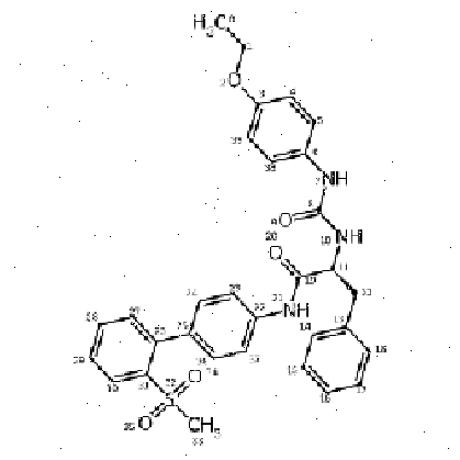 CCOc1ccc(NC(=O)N[C@@H](Cc2ccccc2)C(=O)Nc2ccc(-c3ccccc3S(C)(=O)=O)cc2)cc1